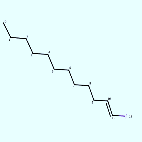 CCCCCCCCCC/C=C/I